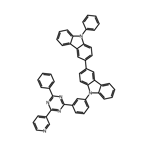 c1ccc(-c2nc(-c3cccnc3)nc(-c3cccc(-n4c5ccccc5c5cc(-c6ccc7c(c6)c6ccccc6n7-c6ccccc6)ccc54)c3)n2)cc1